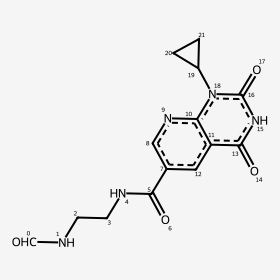 O=CNCCNC(=O)c1cnc2c(c1)c(=O)[nH]c(=O)n2C1CC1